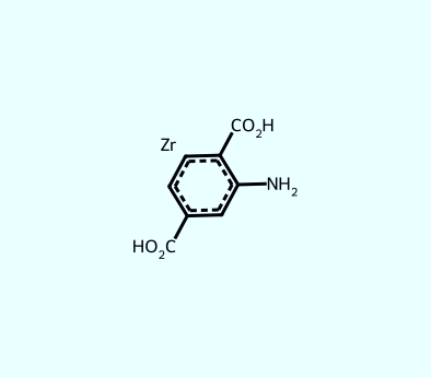 Nc1cc(C(=O)O)ccc1C(=O)O.[Zr]